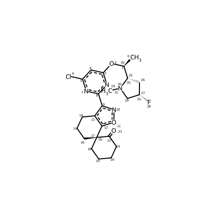 C[C@H](Oc1cc(Cl)nc(-c2noc3c2CCC[C@@]32CCCCC2=O)n1)[C@@H]1C[C@H](F)CN1C